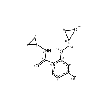 O=C(NC1CC1)c1ccc(F)cc1OC[C@@H]1CO1